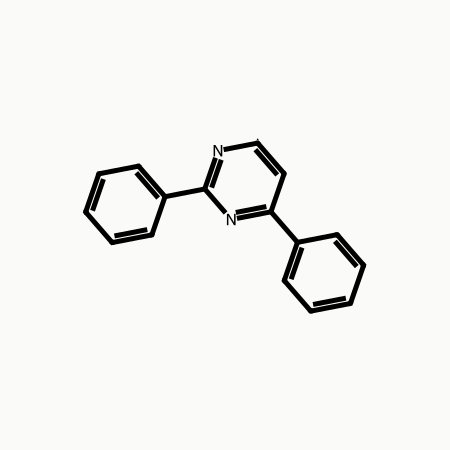 [c]1cc(-c2ccccc2)nc(-c2ccccc2)n1